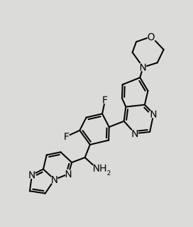 NC(c1ccc2nccn2n1)c1cc(-c2ncnc3cc(N4CCOCC4)ccc23)c(F)cc1F